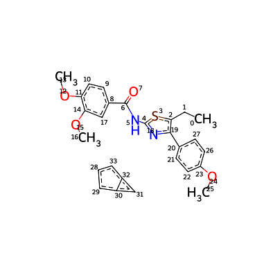 CCc1sc(NC(=O)c2ccc(OC)c(OC)c2)nc1-c1ccc(OC)cc1.c1cc2cc-2c1